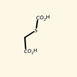 O=C(O)CSC(=O)O